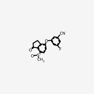 C[S+]([O-])c1ccc(Oc2cc(F)cc(C#N)c2)c2c1C(=O)CC2